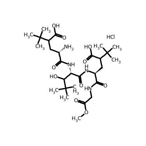 COC(=O)CNC(=O)[C@H](CC(C(=O)O)C(C)(C)C)NC(=O)[C@@H](NC(=O)[C@@H](N)CC(C(=O)O)C(C)(C)C)C(O)C(C)(C)C.Cl